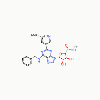 CCNC(=O)[C@H]1O[C@@H](n2cnc3c(NCc4ccccc4)nc(-c4cncc(OC)c4)nc32)[C@H](O)[C@@H]1O